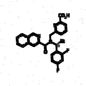 CC[C@H](c1ccc(F)cc1F)N(Cc1cccc(C(=O)O)n1)C(=O)c1cc2ccccc2cn1